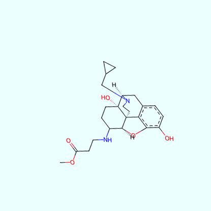 COC(=O)CCNC1CC[C@@]2(O)[C@H]3Cc4ccc(O)c5c4[C@@]2(CCN3CC2CC2)[C@H]1O5